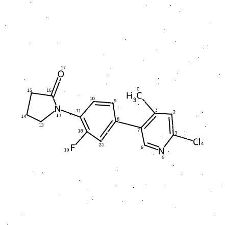 Cc1cc(Cl)ncc1-c1ccc(N2CCCC2=O)c(F)c1